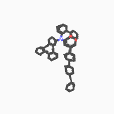 c1ccc(-c2ccc(-c3ccc(-c4cccc(N(c5ccc6c7ccccc7c7ccccc7c6c5)c5ccccc5-c5ccccc5)c4)cc3)cc2)cc1